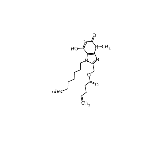 C=CCCC(=O)OCc1nc2c(c(O)nc(=O)n2C)n1CCCCCCCCCCCCCCCC